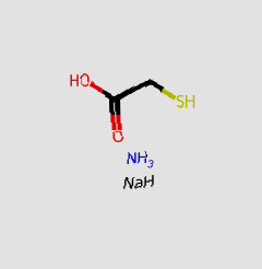 N.O=C(O)CS.[NaH]